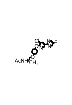 CC(=O)N[C@@H](C)CO[C@H]1CC[C@H](Oc2ncc(-c3ncc(F)cn3)cc2Cl)CC1